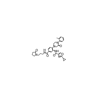 Cc1ccccc1N1CCN(c2ccc(C(=O)NCCCN3CCCC3=O)cc2NC(=O)c2coc(C3CC3)n2)CC1=O